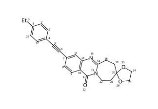 CCc1ccc(C#Cc2ccc3c(=O)n4c(nc3c2)CCC2(CC4)OCCO2)cc1